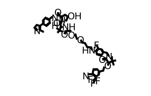 CC1=C(c2ccc(CNC(=O)C3CC(O)CN3C(=O)C(NC(=O)COCCOCCCCNc3ccc(CN4CC(C)(C)C(OCCc5ccc(C#N)c(C(F)(F)F)c5)C4=O)cc3F)C(C)(C)C)cc2)CC=N1